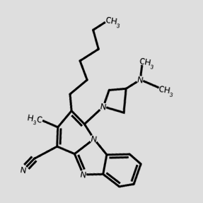 CCCCCCc1c(C)c(C#N)c2nc3ccccc3n2c1N1CC(N(C)C)C1